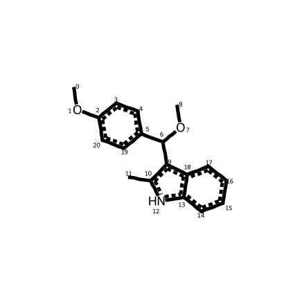 COc1ccc(C(OC)c2c(C)[nH]c3ccccc23)cc1